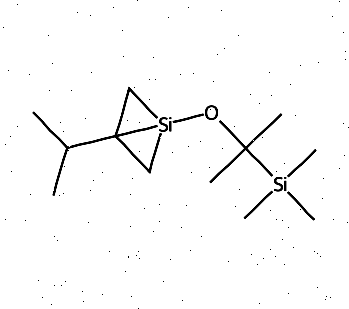 CC(C)C12C[Si]1(OC(C)(C)[Si](C)(C)C)C2